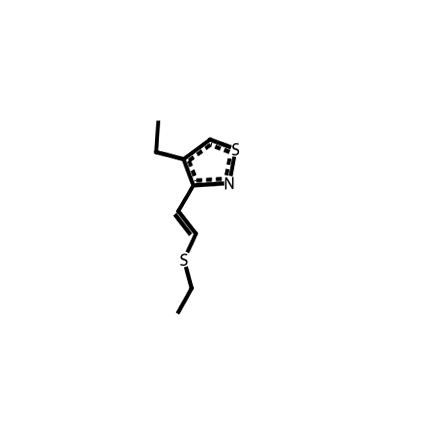 CCSC=Cc1nscc1CC